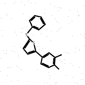 Cc1ccc(-c2ccc(Sc3ccccc3)s2)cc1C